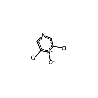 [O-][n+]1c(Cl)cncc1Cl